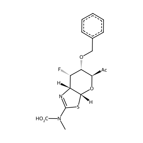 CC(=O)[C@H]1O[C@@H]2SC(N(C)C(=O)O)=N[C@@H]2[C@H](F)[C@@H]1OCc1ccccc1